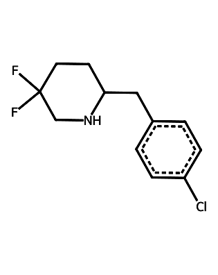 FC1(F)CCC(Cc2ccc(Cl)cc2)NC1